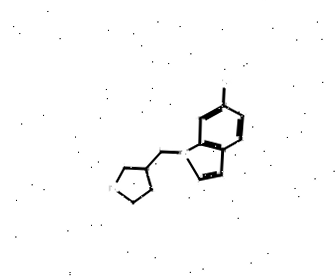 O=[N+]([O-])c1ccc2ccn(CC3CCNC3)c2c1